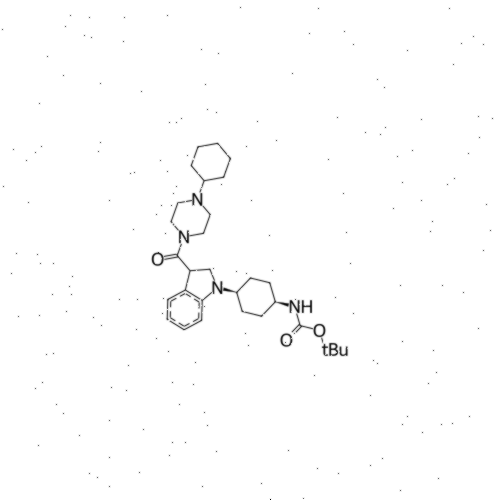 CC(C)(C)OC(=O)N[C@H]1CC[C@@H](N2CC(C(=O)N3CCN(C4CCCCC4)CC3)c3ccccc32)CC1